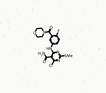 CSc1nc(Cl)c(C(N)=O)c(Nc2ccc(F)c(C(=O)N3CCOCC3)c2)n1